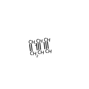 C#C.C#C.C=C